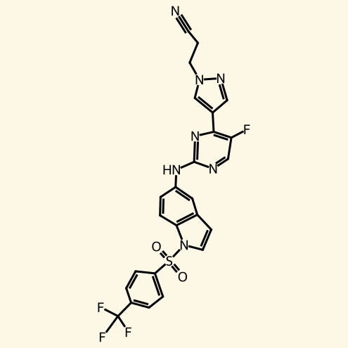 N#CCCn1cc(-c2nc(Nc3ccc4c(ccn4S(=O)(=O)c4ccc(C(F)(F)F)cc4)c3)ncc2F)cn1